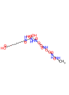 CCCCNC(=O)CCCNC(=O)COCCOCCNC(=O)COCCOCCNC(=O)CC[C@H](NC(=O)CCCNC(=O)CCCCCCCCCCCCCCCCC(=O)O)C(O)O